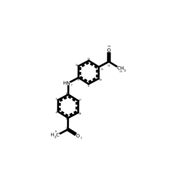 CC(=O)c1ccc(Nc2ccc(C(C)=O)cc2)cc1